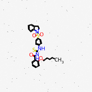 CCCCCOc1ccccc1C(=O)NC(=S)Nc1ccc(S(=O)(=O)N2CCc3ccccc32)cc1